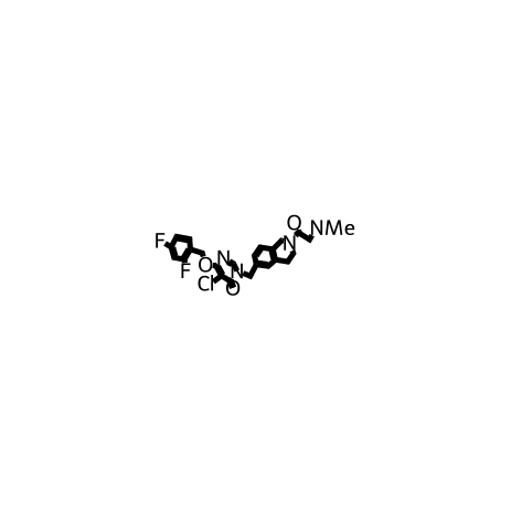 CNCC(=O)N1CCc2cc(Cn3cnc(OCc4ccc(F)cc4F)c(Cl)c3=O)ccc2C1